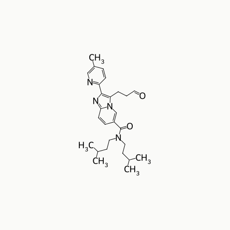 Cc1ccc(-c2nc3ccc(C(=O)N(CCC(C)C)CCC(C)C)cn3c2CCC=O)nc1